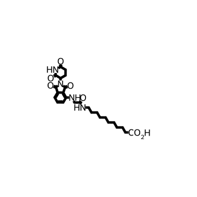 O=C(O)CCCCCCCCCCNC(=O)CNc1cccc2c1C(=O)N(C1CCC(=O)NC1=O)C2=O